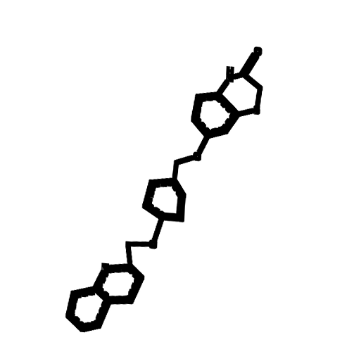 O=C1CSc2cc(OCc3ccc(OCc4ccc5ccccc5n4)cc3)ccc2N1